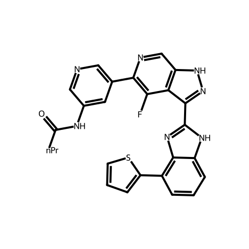 CCCC(=O)Nc1cncc(-c2ncc3[nH]nc(-c4nc5c(-c6cccs6)cccc5[nH]4)c3c2F)c1